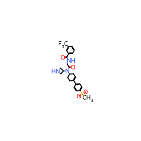 CS(=O)(=O)c1ccc(C2=CCC(N(C(=O)CNC(=O)c3cccc(C(F)(F)F)c3)C3CNC3)CC2)cc1